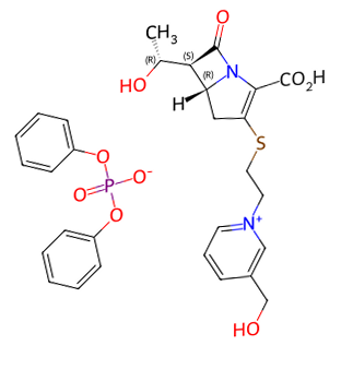 C[C@@H](O)[C@H]1C(=O)N2C(C(=O)O)=C(SCC[n+]3cccc(CO)c3)C[C@H]12.O=P([O-])(Oc1ccccc1)Oc1ccccc1